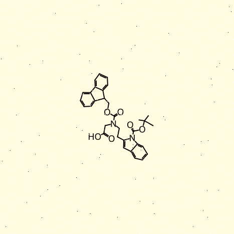 CC(C)(C)OC(=O)n1c(CCN(CC(=O)O)C(=O)OCC2c3ccccc3-c3ccccc32)cc2ccccc21